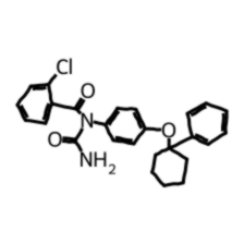 NC(=O)N(C(=O)c1ccccc1Cl)c1ccc(OC2(c3ccccc3)CCCCC2)cc1